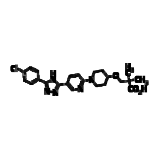 CC(C)(COC1CCN(c2ccc(-c3nnc(-c4ccc(Cl)cc4)[nH]3)cn2)CC1)C(=O)O